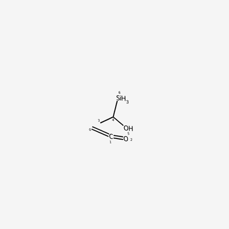 C=C=O.CC(O)[SiH3]